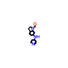 O=CN1CCc2ccc(Nc3ccncc3)cc21